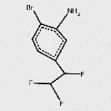 Nc1cc(C(F)C(F)F)ccc1Br